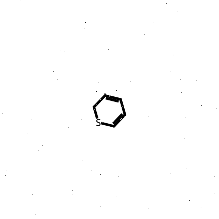 [C]1=CC=CSC1